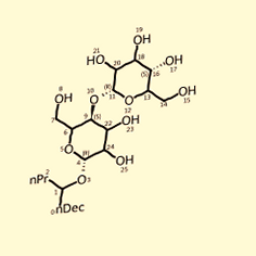 CCCCCCCCCCC(CCC)O[C@@H]1OC(CO)[C@@H](O[C@H]2OC(CO)[C@@H](O)C(O)C2O)C(O)C1O